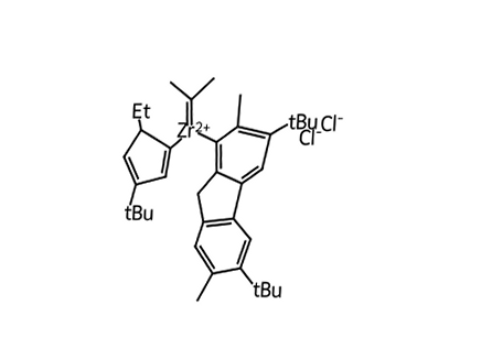 CCC1C=C(C(C)(C)C)C=[C]1[Zr+2](=[C](C)C)[c]1c(C)c(C(C)(C)C)cc2c1Cc1cc(C)c(C(C)(C)C)cc1-2.[Cl-].[Cl-]